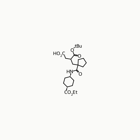 CCOC(=O)[C@H]1CC[C@@H](NC(=O)C2(CC(CC(=O)O)C(=O)OC(C)(C)C)CCCC2)CC1